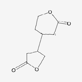 O=C1[C]C(C2COC(=O)C2)CCO1